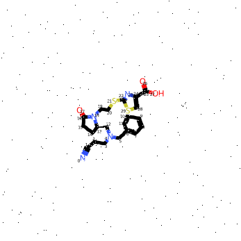 N#CCCN(Cc1ccccc1)C[C@H]1CCC(=O)N1CCSc1nc(C(=O)O)cs1